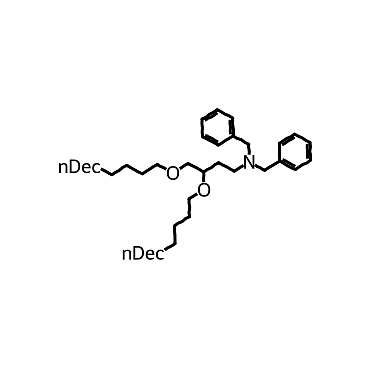 CCCCCCCCCCCCCCOCC(CCN(Cc1ccccc1)Cc1ccccc1)OCCCCCCCCCCCCCC